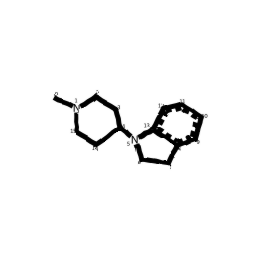 CN1CCC(N2CCc3cc[c]cc32)CC1